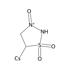 O=[N+]1C[CH]([Cs])S(=O)(=O)N1